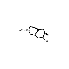 CCCN1CCC2CC(=O)C(C(C)=O)CC2C1